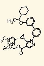 CC(=O)OCOC(=O)c1cnn(-c2cccc(-c3cccc(O[C@@H](C)C4CCCCC4)c3)c2)c1[C@@H]1C[C@H]1c1cn(C)nn1